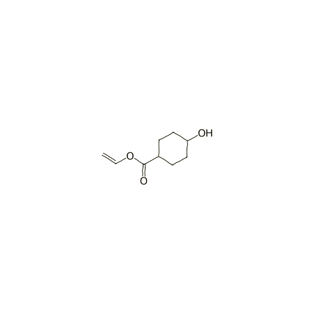 C=COC(=O)C1CCC(O)CC1